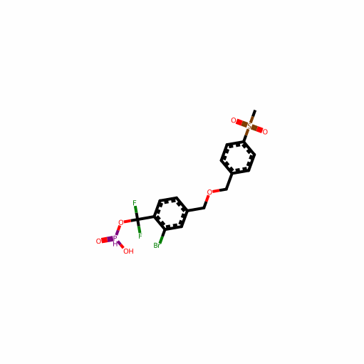 CS(=O)(=O)c1ccc(COCc2ccc(C(F)(F)O[PH](=O)O)c(Br)c2)cc1